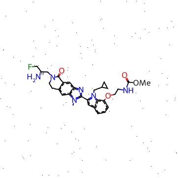 COC(=O)NCCOc1cccc2cc(-c3nc4cc5c(cc4n3C)CCN(C[C@H](N)CF)C5=O)n(CC3CC3)c12